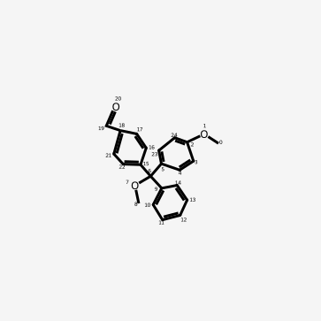 COc1ccc(C(OC)(c2ccccc2)c2ccc(C=O)cc2)cc1